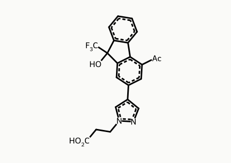 CC(=O)c1cc(-c2cnn(CCC(=O)O)c2)cc2c1-c1ccccc1C2(O)C(F)(F)F